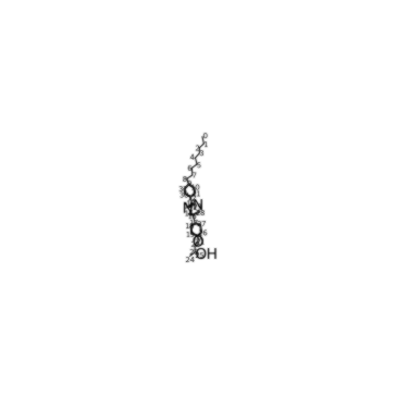 CCCCCCCCCc1ccc(-c2ncc(-c3ccc(OCC(C)O)cc3)cn2)cc1